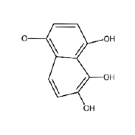 [O]c1ccc(O)c2c(O)c(O)ccc12